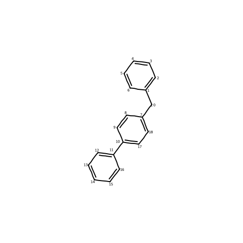 [CH](c1ccccc1)c1ccc(-c2ccccc2)cc1